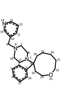 c1ccc(C2(N3CCN(Cc4cccnc4)CC3)CCCCCOCC2)cc1